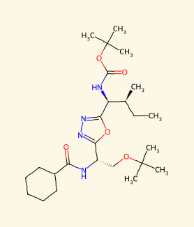 CC[C@H](C)[C@H](NC(=O)OC(C)(C)C)c1nnc([C@H](COC(C)(C)C)NC(=O)C2CCCCC2)o1